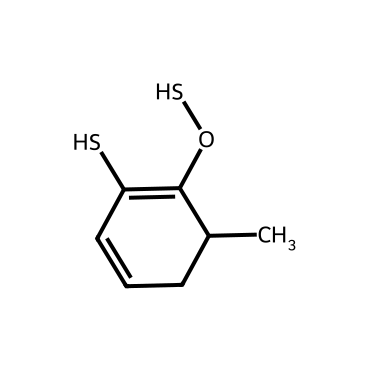 CC1CC=CC(S)=C1OS